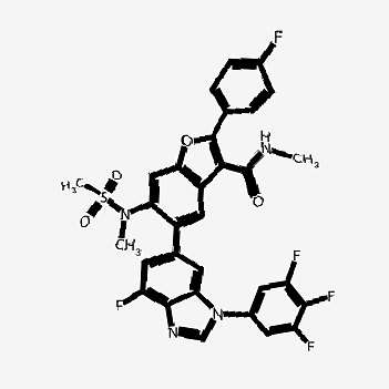 CNC(=O)c1c(-c2ccc(F)cc2)oc2cc(N(C)S(C)(=O)=O)c(-c3cc(F)c4ncn(-c5cc(F)c(F)c(F)c5)c4c3)cc12